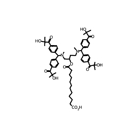 CN(CCC(CN(C)C(c1ccc(C(=O)C(C)(C)O)cc1)c1ccc(C(=O)C(C)(C)O)cc1)OC(=O)CCCCCCCCCCC(=O)O)C(c1ccc(C(=O)C(C)(C)O)cc1)c1ccc(C(=O)C(C)(C)O)cc1